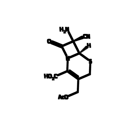 CC(=O)OCC1=C(C(=O)O)N2C(=O)[C@@](N)(C#N)[C@H]2SC1